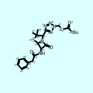 CC(C)(C)C(=O)OCn1nnc(C2N3C(=O)C(NC(=O)Cc4ccccc4)C3SC2(C)C)n1